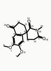 COc1cc2c(cc1OC)C1(CCC2=O)CCC(=O)N(C)C1=O